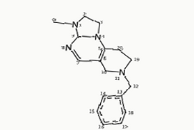 CN1CCN2C3=C(C=NC12)CN(Cc1ccccc1)CC3